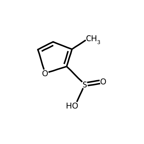 Cc1ccoc1S(=O)O